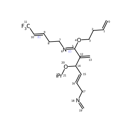 C=CCCO/C(=N\CC/C=C/C(F)(F)F)C(=C)C(C=CCN=C)OC(C)C